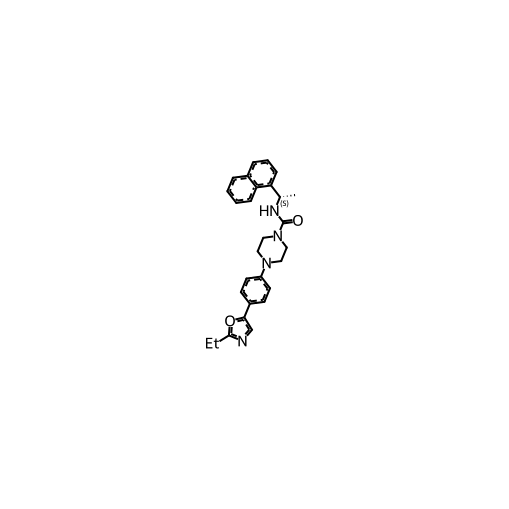 CCc1ncc(-c2ccc(N3CCN(C(=O)N[C@@H](C)c4cccc5ccccc45)CC3)cc2)o1